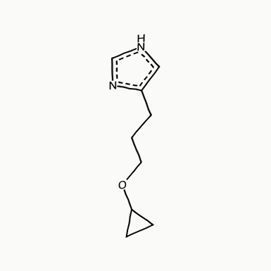 c1nc(CCCOC2CC2)c[nH]1